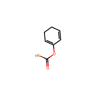 O=C(S)OC1=CCCC=C1